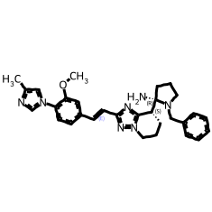 COc1cc(/C=C/c2nc3n(n2)CCC[C@H]3[C@@]2(N)CCCN2Cc2ccccc2)ccc1-n1cnc(C)c1